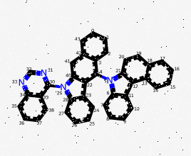 c1ccc2c(-n3c4ccccc4c4c5ccccc5ccc43)c3c4ccccc4n(-c4ncnc5ccccc45)c3cc2c1